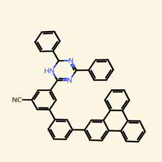 N#Cc1cc(C2=NC(c3ccccc3)=NC(c3ccccc3)N2)cc(-c2cccc(-c3ccc4c5ccccc5c5ccccc5c4c3)c2)c1